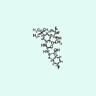 COc1c(NC(=O)NC2Cc3cc(F)ccc3C2O)cc(C(C)(C)C)cc1[C@@H](O)C(F)(F)F